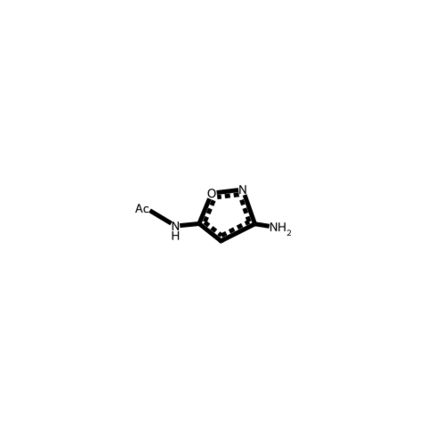 CC(=O)Nc1cc(N)no1